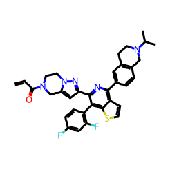 C=CC(=O)N1CCn2nc(-c3nc(-c4ccc5c(c4)CCN(C(C)C)C5)c4ccsc4c3-c3ccc(F)cc3F)cc2C1